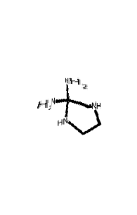 NC1(N)NCCN1